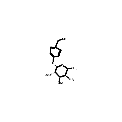 CC(=O)O[C@@H]1[C@H](Oc2ccc(CO)cc2)O[C@@H](C)[C@@H](C)[C@H]1OC(C)=O